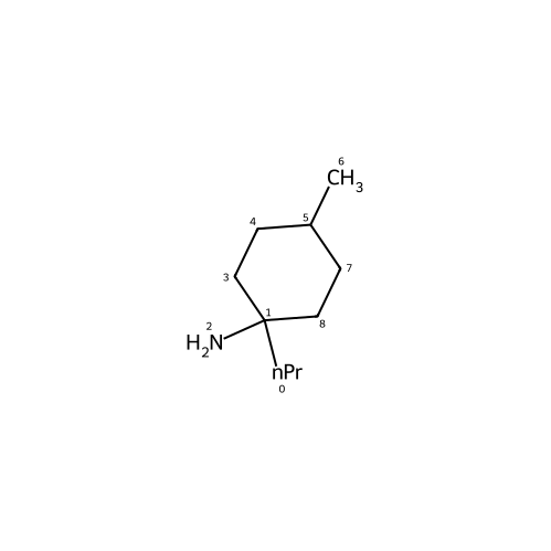 CCCC1(N)CCC(C)CC1